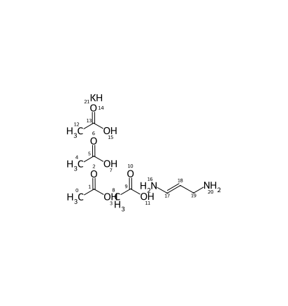 CC(=O)O.CC(=O)O.CC(=O)O.CC(=O)O.NC=CCN.[KH]